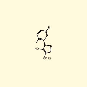 CCOC(=O)c1cnn(-c2cc(Br)ccc2C)c1O